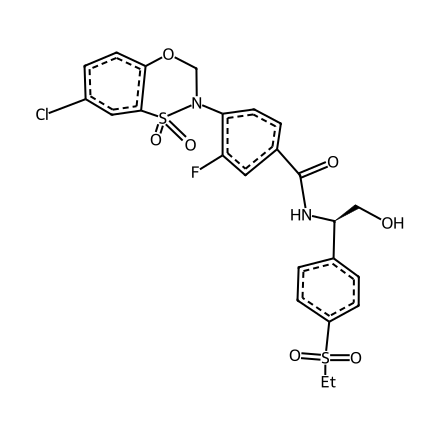 CCS(=O)(=O)c1ccc([C@H](CO)NC(=O)c2ccc(N3COc4ccc(Cl)cc4S3(=O)=O)c(F)c2)cc1